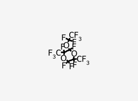 FC(F)(F)C(F)(F)OC1(F)OC(F)(C(F)(F)F)C(F)(F)OC1(F)C(F)(F)F